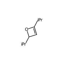 CC(C)C1=CC(C(C)C)O1